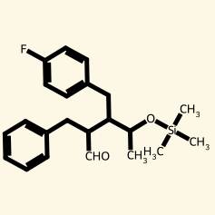 CC(O[Si](C)(C)C)C(Cc1ccc(F)cc1)C(C=O)Cc1ccccc1